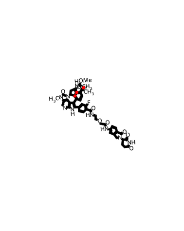 COC(=O)N[C@@H]1CC[C@@H](n2c(=O)n(C)c3cnc4[nH]c(-c5ccc(C(=O)NCCOCC(=O)Nc6ccc7c(c6)CN(C6CCC(=O)NC6=O)C7=O)c(F)c5)c(-c5ccc6c(c5)COC6(C)C)c4c32)C1